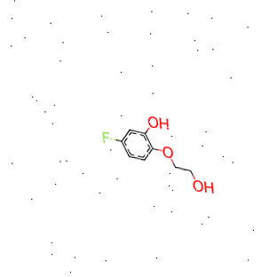 OCCOc1ccc(F)cc1O